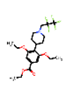 CCOC(=O)c1cc(OCC)c(C2CCN(CC(F)(F)C(F)(F)F)CC2)c(OCC)c1